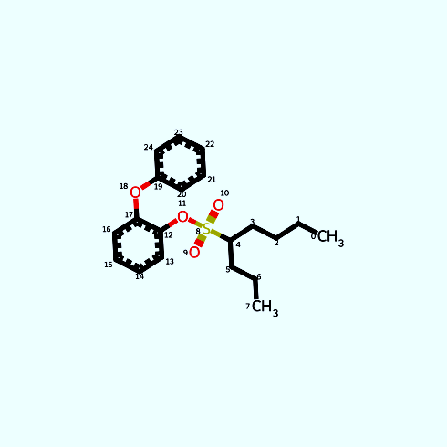 CCCCC(CCC)S(=O)(=O)Oc1ccccc1Oc1ccccc1